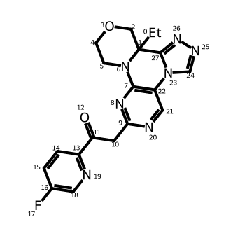 CCC12COCCN1c1nc(CC(=O)c3ccc(F)cn3)ncc1-n1cnnc12